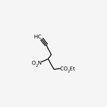 C#CCC(CC(=O)OCC)[N+](=O)[O-]